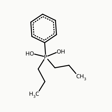 CCCP(O)(O)(CCC)c1ccccc1